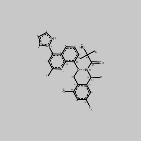 Cc1cc(-n2nccn2)c2cccc(OCc3c(Cl)cc(F)cc3[C@H](C)NC(=O)C(C)(C)O)c2n1